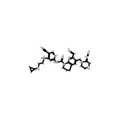 N#Cc1cnc(NC(=O)N2CCCc3cc(CN4CCOCC4=C=O)c(C=O)nc32)cc1NCCOC1CC1